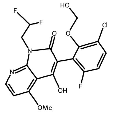 COc1ccnc2c1c(O)c(-c1c(F)ccc(Cl)c1OCO)c(=O)n2CC(F)F